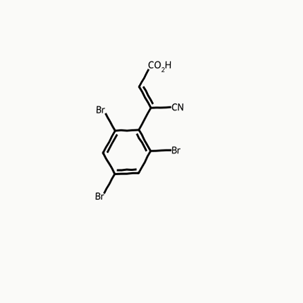 N#CC(=CC(=O)O)c1c(Br)cc(Br)cc1Br